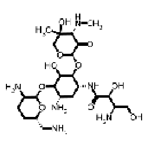 CN[C@@H]1C(=O)[C@@H](OC2C(O)C(O[C@H]3O[C@H](CN)CCC3N)[C@@H](N)C[C@H]2NC(=O)[C@@H](O)[C@H](N)CO)OCC1(C)O